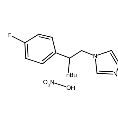 CCCCC(Cn1ccnc1)c1ccc(F)cc1.O=[N+]([O-])O